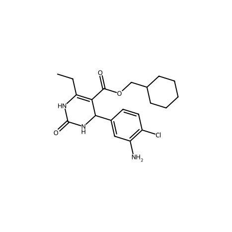 CCC1=C(C(=O)OCC2CCCCC2)C(c2ccc(Cl)c(N)c2)NC(=O)N1